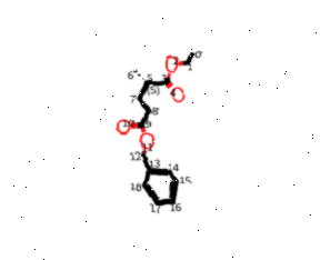 CCOC(=O)[C@@H](C)CCC(=O)OCc1ccccc1